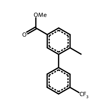 COC(=O)c1ccc(C)c(-c2cccc(C(F)(F)F)c2)c1